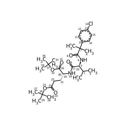 CC(C)[C@H](NC(=O)C(C)(C)c1ccc(Cl)cc1)C(=O)N[C@H](CCC(=O)OC(C)(C)C)C(=O)OC(C)(C)C